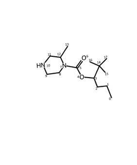 CCCC(OC(=O)N1CCNCC1C)C(C)(C)C